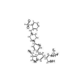 CS(=O)(=O)c1ccccc1CN1CCN(c2ccc(-c3cc(/C(C=N)=C/NC(F)F)cn4ncc(C#N)c34)cn2)CC1